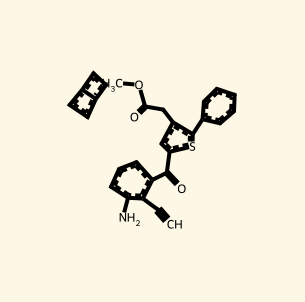 C#Cc1c(N)cccc1C(=O)c1cc(CC(=O)OC)c(-c2ccccc2)s1.c1cc2ccc1-2